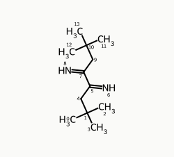 CC(C)(C)CC(=N)C(=N)CC(C)(C)C